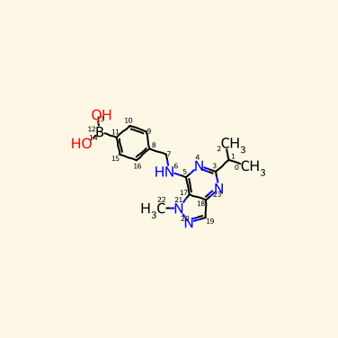 CC(C)c1nc(NCc2ccc(B(O)O)cc2)c2c(cnn2C)n1